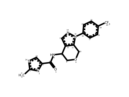 Cc1nc(C(=O)NC2COCc3c2cnn3-c2ccc(C(F)(F)F)cc2)cs1